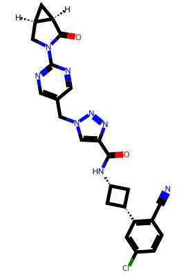 N#Cc1ccc(Cl)cc1[C@H]1C[C@@H](NC(=O)c2cn(Cc3cnc(N4C[C@H]5C[C@H]5C4=O)nc3)nn2)C1